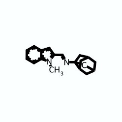 Cn1c(/C=N/C23CC4CC(CC2C4)C3)cc2ccccc21